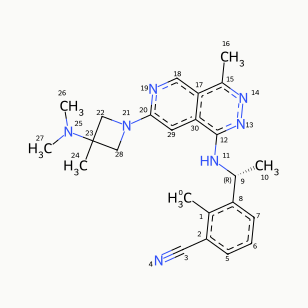 Cc1c(C#N)cccc1[C@@H](C)Nc1nnc(C)c2cnc(N3CC(C)(N(C)C)C3)cc12